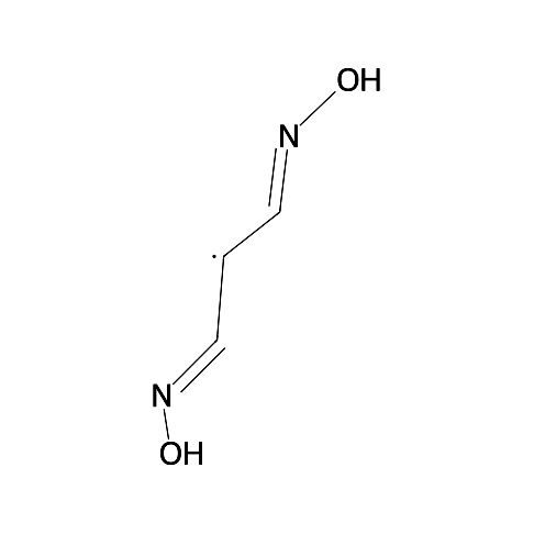 ON=C[CH]C=NO